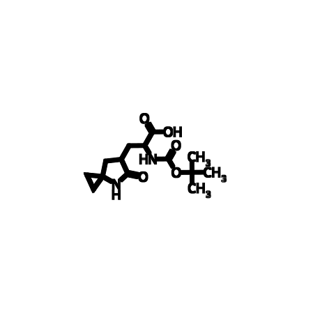 CC(C)(C)OC(=O)NC(CC1CC2(CC2)NC1=O)C(=O)O